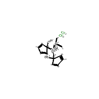 CCC[C]1([Zr+2]([SiH](C)C)[C]2(CCC)C=CC=C2)C=CC=C1.[Cl-].[Cl-]